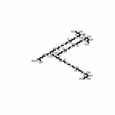 COCC(CO)CCCCNC(=O)C[C@H](CCCCNC(=O)COCCOCCNC(=O)CCCCO[C@@H]1OC(CO)[C@@H](O)[C@H](O)C1O)NC(=O)C[C@H](CCCCNC(=O)COCCOCCNC(=O)CCCCO[C@@H]1OC(CO)[C@@H](O)[C@H](O)C1O)NC(=O)CCCNC(=O)COCCOCCNC(=O)CCCCO[C@@H]1OC(CO)[C@@H](O)[C@H](O)C1O